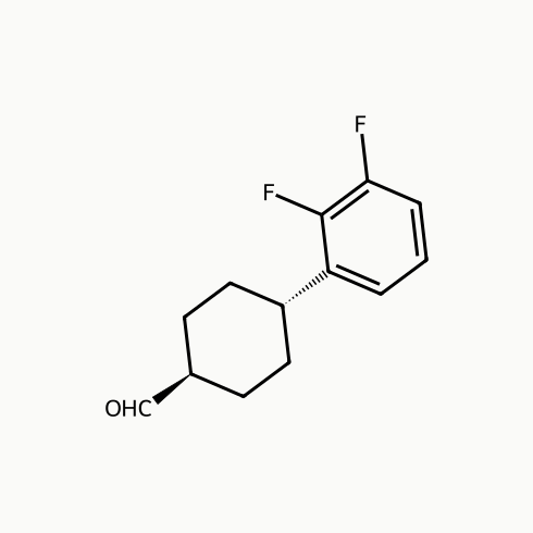 O=C[C@H]1CC[C@H](c2cccc(F)c2F)CC1